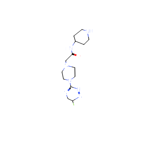 O=C(CN1CCN(C2=NCC(F)N=N2)CC1)NC1CCNCC1